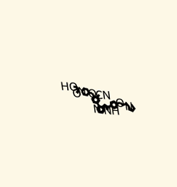 N#Cc1cc(-c2nccc3[nH]c(-c4ccc(OCCN5CCCC5)cc4)cc23)ccc1OC1CCN(C(=O)CO)CC1